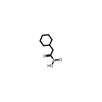 O=C(CC1CCCCC1)N(O)Cl